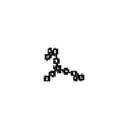 c1ccc(-c2ccc(-c3nc(-c4ccc(-c5ccc6c(c5)oc5ccccc56)cc4)nc(-c4ccc(-c5cccc6oc7ccccc7c56)cc4)n3)cc2)cc1